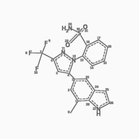 Cc1cc(-c2cc(C(F)(F)F)nn2-c2ccccc2S(N)(=O)=O)cc2cc[nH]c12